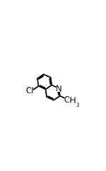 Cc1ccc2c(Cl)cccc2n1